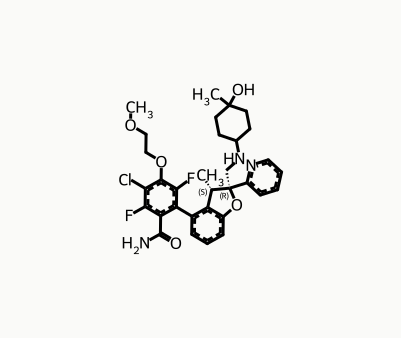 COCCOc1c(F)c(-c2cccc3c2[C@H](C)[C@@](CNC2CCC(C)(O)CC2)(c2ccccn2)O3)c(C(N)=O)c(F)c1Cl